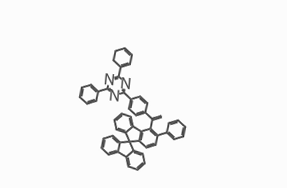 C=C(c1ccc(-c2nc(C3=CC=CCC3)nc(-c3ccccc3)n2)cc1)c1c(-c2ccccc2)ccc2c1-c1ccccc1C21c2ccccc2-c2ccccc21